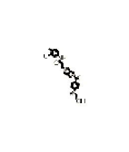 Cc1ccc(NC(=O)CCN2CC3CN(C(=O)c4ccc(N(C)CCO)cc4)CC3C2)cc1Cl